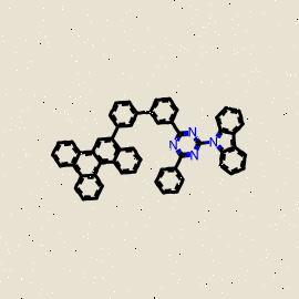 c1ccc(-c2nc(-c3cccc(-c4cccc(-c5cc6c7ccccc7c7ccccc7c6c6ccccc56)c4)c3)nc(-n3c4ccccc4c4ccccc43)n2)cc1